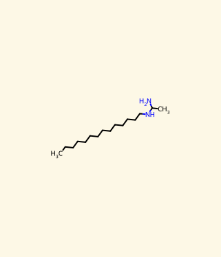 CCCCCCCCCCCCCCNC(C)N